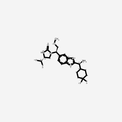 COC[C@@H](c1ccc2oc([C@@H](N)C3CCC(F)(F)CC3)nc2c1)N1C[C@H](C(F)F)NC1=O